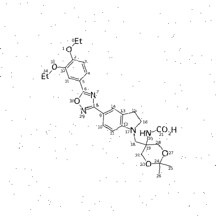 CCOc1ccc(-c2nc(-c3ccc4c(c3)CCN4CC3(NC(=O)O)COC(C)(C)OC3)no2)cc1OCC